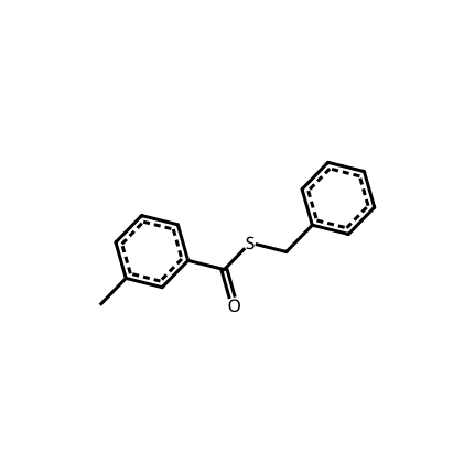 Cc1cccc(C(=O)SCc2ccccc2)c1